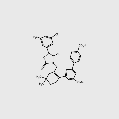 COc1cc(C2=C(CN3C(=O)OC(c4cc(C(F)(F)F)cc(C(F)(F)F)c4)C3C)CC(C)(C)CC2)cc(-c2ccc(C(=O)O)cc2)c1